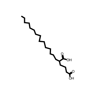 CCCCCCCCCCCCCCCC(CCCC(=O)O)C(=O)O